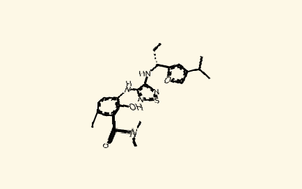 CC[C@@H](Nc1nsnc1Nc1ccc(C)c(C(=O)N(C)C)c1O)c1cc(C(C)C)co1